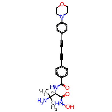 CC(C)(N)[C@H](NC(=O)c1ccc(C#CC#Cc2ccc(N3CCOCC3)cc2)cc1)C(=O)NO